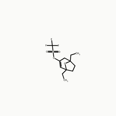 CCC12C=C(OS(=O)(=O)C(F)(F)F)CC(CC)(CC1)O2